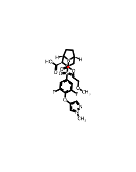 COCCOC(=O)N1[C@@H]2CC[C@H]1[C@H](C(=O)O)N(S(=O)(=O)c1cc(F)c(Oc3cnn(C)c3)c(F)c1)C2